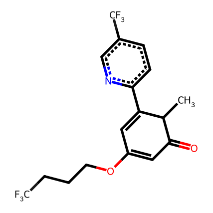 CC1C(=O)C=C(OCCCC(F)(F)F)C=C1c1ccc(C(F)(F)F)cn1